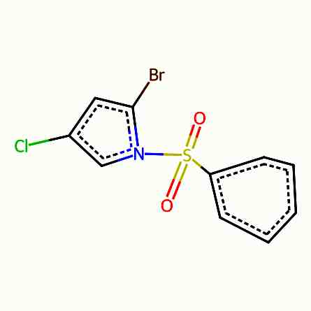 O=S(=O)(c1ccccc1)n1cc(Cl)cc1Br